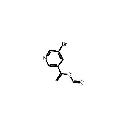 C=C(O[C]=O)c1cncc(Br)c1